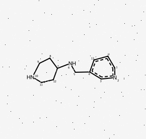 c1cncc(CNC2CCNCC2)c1